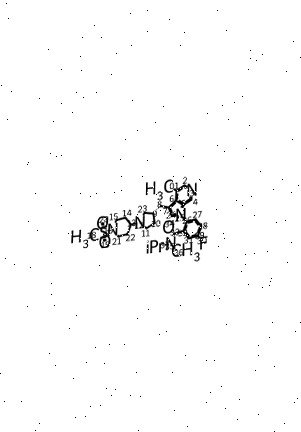 Cc1cncc2c1c(C[C@@H]1CCN(C3CCN(S(C)(=O)=O)CC3)C1)cn2-c1ccc(F)cc1C(=O)N(C)C(C)C